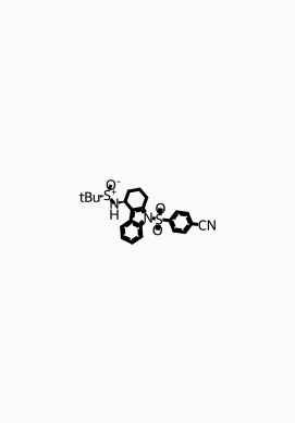 CC(C)(C)[S@@+]([O-])N[C@H]1CCCc2c1c1ccccc1n2S(=O)(=O)c1ccc(C#N)cc1